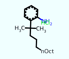 CCCCCCCCCCCC(C)(C)c1ccccc1N.Cl